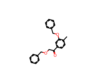 Cc1ccc(C(=O)COCc2ccccc2)cc1OCc1ccccc1